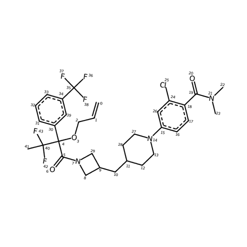 C=CCOC(C(=O)N1CC(CC2CCN(c3ccc(C(=O)N(C)C)c(Cl)c3)CC2)C1)(c1cccc(C(F)(F)F)c1)C(C)(F)F